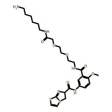 COc1ccc(NC(=O)C2CN3C=CSC3=N2)cc1C(=O)NCCOCCOCC(=O)NCCCCCCN